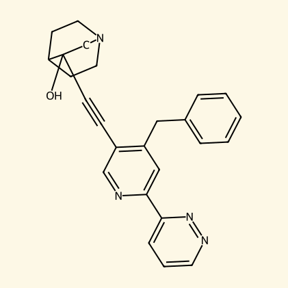 OC1(C#Cc2cnc(-c3cccnn3)cc2Cc2ccccc2)CN2CCC1CC2